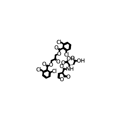 O=C(COC(=O)c1c(Cl)cccc1Cl)COC(=O)c1c(Cl)cccc1Cl.O=C(O)C[C@H](NC(=O)C1C=COC1=O)C(=O)O